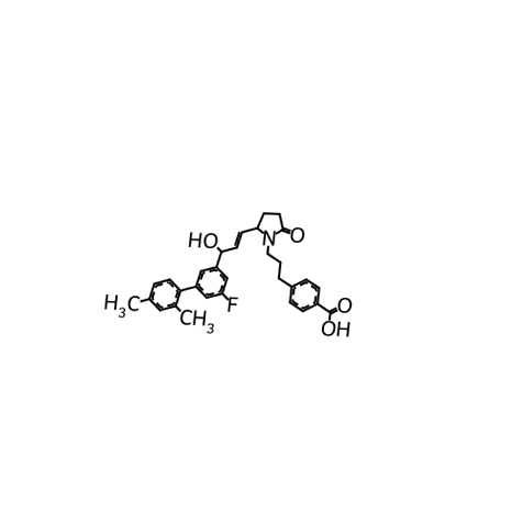 Cc1ccc(-c2cc(F)cc(C(O)/C=C/C3CCC(=O)N3CCCc3ccc(C(=O)O)cc3)c2)c(C)c1